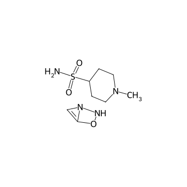 C1=C2ONN12.CN1CCC(S(N)(=O)=O)CC1